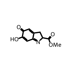 COC(=O)C1CC2=CC(=O)C(O)=CC2=N1